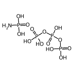 NP(=O)(O)O.O=P(O)(O)OP(=O)(O)OP(=O)(O)O